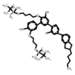 CCCCCC1Cc2ccc(-c3ccc(-c4cc(O)c(OCCCCO[Si](C)(C)C(C)(C)C)c(-c5ccc(O)c(OCCCO[Si](C)(C)C(C)(C)C)c5)c4)c(F)c3)cc2C1